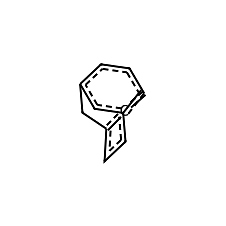 c1cc2cc3ccc2cc1C3